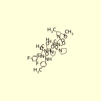 CC(=O)[C@@H]1C[C@H](C)CN1C(=O)[C@H](C)NC(=O)[C@@H]1CCCCN1C(=O)[C@@H]1CCCN1C(=O)[C@@H](NC(=O)[C@H](Cc1cc(F)cc(F)c1)NC(=O)Nc1ccc(C)cc1)[C@H](C)O